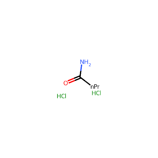 CCCC(N)=O.Cl.Cl